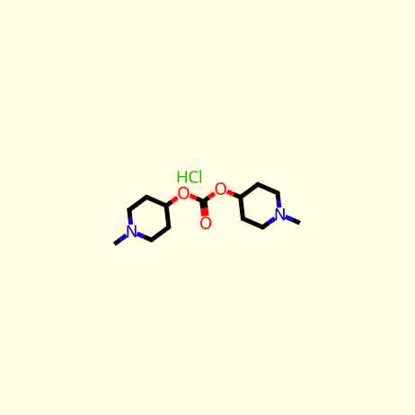 CN1CCC(OC(=O)OC2CCN(C)CC2)CC1.Cl